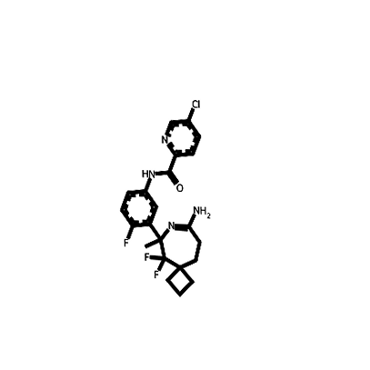 CC1(c2cc(NC(=O)c3ccc(Cl)cn3)ccc2F)N=C(N)CCC2(CCC2)C1(F)F